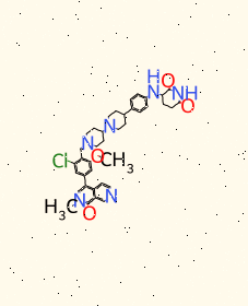 COc1cc(-c2cn(C)c(=O)c3cnccc23)cc(Cl)c1CN1CCC(N2CCC(c3ccc(NC4CCC(=O)NC4=O)cc3)CC2)CC1